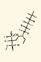 [2H]C(C)(C)C([2H])(C)C([2H])([2H])C([2H])(C)C([2H])([2H])N(CC)CCC(O)(P(=O)(O)O)P(=O)(O)OC